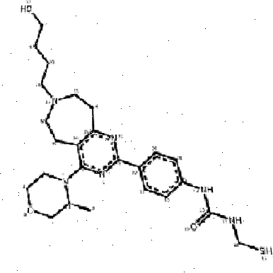 C[C@H]1COCCN1c1nc(-c2ccc(NC(=O)NC[SiH3])cc2)nc2c1CCN(CCCCO)CC2